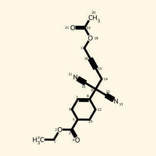 CCOC(=O)C1CC=C(C(C#N)(C#N)CC#CCOC(C)=O)CC1